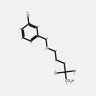 O=C(O)C(Cl)(Br)CCCOCc1cccc(Cl)c1